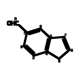 O=Cc1ccc2c(c1)C=CC2